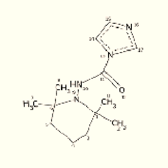 CC1(C)CCCC(C)(C)N1NC(=O)n1ccnc1